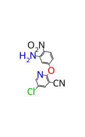 N#Cc1cc(Cl)cnc1Oc1ccc([N+](=O)[O-])c(N)c1